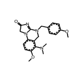 COc1ccc(CN2Cc3c(ccc(OC)c3N(C)C)N3CC(=O)N=C23)cc1